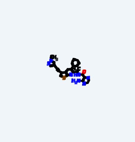 CC(NC(=O)c1nccnc1N)c1nc2scc(C#Cc3cnn(C)c3)c2cc1-c1ccccc1